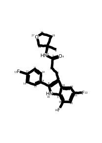 CC1(NC(=O)CCc2c(-c3ccc(F)cc3)[nH]c3c(F)cc(F)cc23)CCOC1